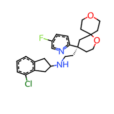 Fc1ccc([C@]2(CCNC3Cc4cccc(Cl)c4C3)CCOC3(CCOCC3)C2)nc1